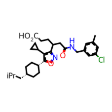 Cc1cc(Cl)cc(CNC(=O)CC(CCC(=O)O)c2noc([C@H]3CC[C@@H](CC(C)C)CC3)c2C2CC2)c1